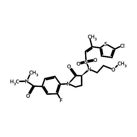 COCCN([C@H]1CCN(c2ccc(C(=O)N(C)C)cc2F)C1=O)S(=O)(=O)C=C(C)c1ccc(Cl)s1